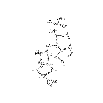 CCCCS(=O)(=O)Nc1ccc(F)c(C(=O)c2c[nH]c3ncc(OC)cc23)c1F